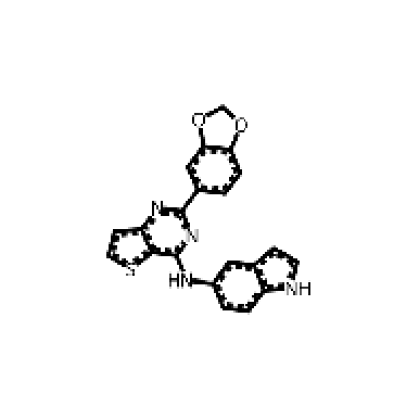 c1cc2cc(Nc3nc(-c4ccc5c(c4)OCO5)nc4ccsc34)ccc2[nH]1